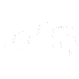 Clc1ccc(-c2ccc3c(c2)[C@@H]2CNCC[C@@H]2N3)c(Cl)c1